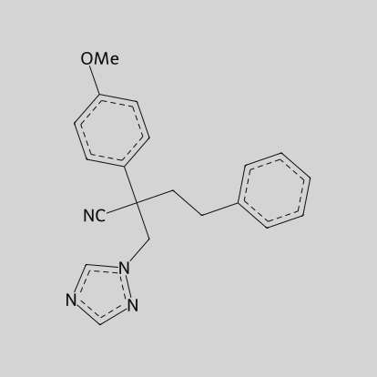 COc1ccc(C(C#N)(CCc2ccccc2)Cn2cncn2)cc1